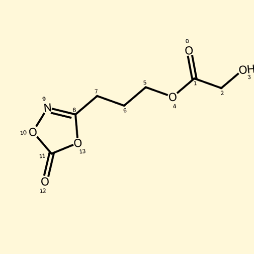 O=C(CO)OCCCc1noc(=O)o1